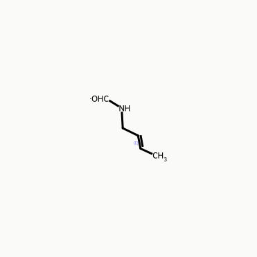 C/C=C/CN[C]=O